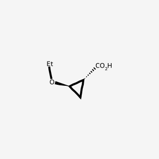 CCO[C@@H]1C[C@H]1C(=O)O